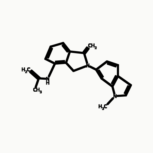 C=C(C)Nc1cccc2c1CN(c1ccc3ccn(C)c3c1)C2=C